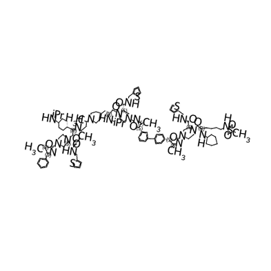 CC(C)N[C@H](CC1CCN(C(C)CC(C)N[C@@H](C(=O)N2CCN(C3=N[C@@H](c4ccccc4)[C@H](C)O3)C[C@H]2C(=O)NCc2cccs2)[C@H]2CC[C@H](NC(C)C)CC2)CC1)C(=O)N1CCN(C2=N[C@@H](C)[C@H](c3cccc(-c4ccc([C@@H]5OC(N6CCN(C(=O)[C@@H](CCCCNS(C)(=O)=O)NC7CCCCC7)[C@H](C(=O)NCc7cccs7)C6)=N[C@@H]5C)cc4)c3)O2)C[C@H]1C(=O)NCc1cccs1